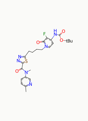 Cc1ccc(N(C)C(=O)c2nnc(CCCCn3ccc(NC(=O)OC(C)(C)C)c(F)c3=O)s2)cn1